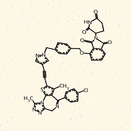 Cc1c(C#Cc2cnn(Cc3ccc(COc4cccc5c4C(=O)N(C4CCC(=O)NC4=O)C5=O)cc3)c2)sc2c1C(c1ccc(Cl)cc1)=NCc1nnc(C)n1-2